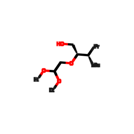 CCCC[C@@H](C(C)C)[C@@H](CO)OCC(OCC)OCC